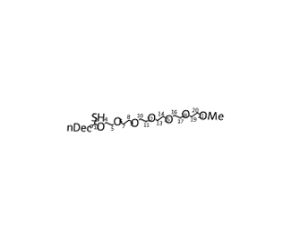 CCCCCCCCCCC(S)OCCOCCOCCOCCOCCOCCOC